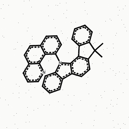 CC1(C)c2ccccc2-c2c1ccc1c3ccccc3n(-c3cccc4ccc5cccnc5c34)c21